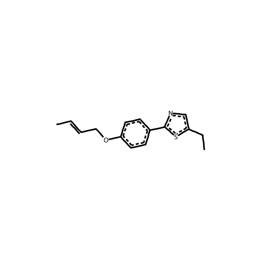 CC=CCOc1ccc(-c2ncc(CC)s2)cc1